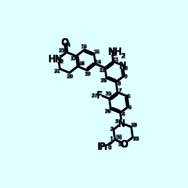 CC(C)[C@H]1CN(c2ccc(-c3cnc(N)c(-c4ccc5c(c4)CCNC5=O)c3)c(F)c2)CCO1